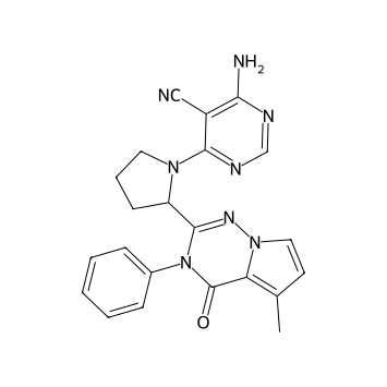 Cc1ccn2nc(C3CCCN3c3ncnc(N)c3C#N)n(-c3ccccc3)c(=O)c12